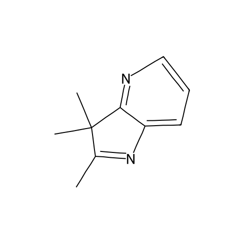 CC1=Nc2cccnc2C1(C)C